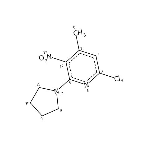 Cc1cc(Cl)nc(N2CCCC2)c1[N+](=O)[O-]